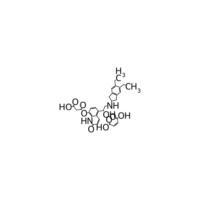 CCc1cc2c(cc1CC)CC(NC[C@H](O)c1ccc(OC(=O)CC(=O)O)c3[nH]c(=O)ccc13)C2.O=C(O)/C=C\C(=O)O